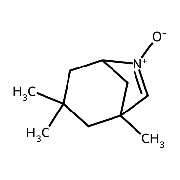 CC1(C)CC2CC(C)(C=[N+]2[O-])C1